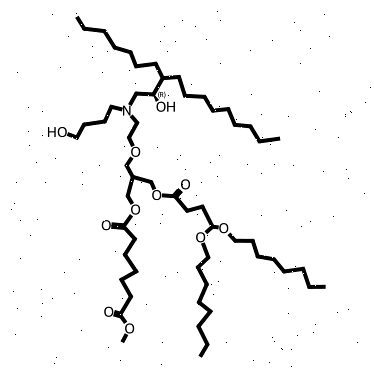 CCCCCCCCCC(CCCCCCC)[C@@H](O)CN(CCCCO)CCOCC(COC(=O)CCCCCC(=O)OC)COC(=O)CCC(OCCCCCCCC)OCCCCCCCC